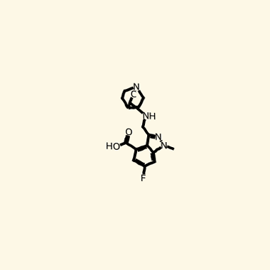 Cn1nc(CNC2CN3CCC2CC3)c2c(C(=O)O)cc(F)cc21